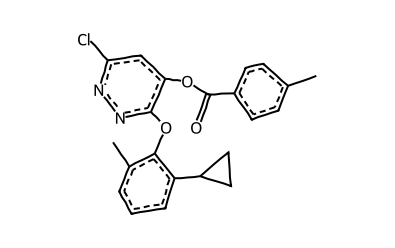 Cc1ccc(C(=O)Oc2cc(Cl)nnc2Oc2c(C)cccc2C2CC2)cc1